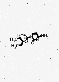 CCC(CC)O[C@H](CO)n1ccc(N)nc1=O